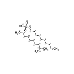 CCCCCCCCCCOS(=O)(=O)O.CCCCCCCCN(C)C